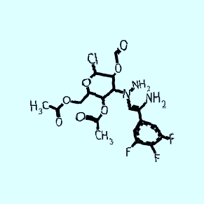 CC(=O)OCC1OC(Cl)C(OC=O)C(N(N)/C=C(\N)c2cc(F)c(F)c(F)c2)C1OC(C)=O